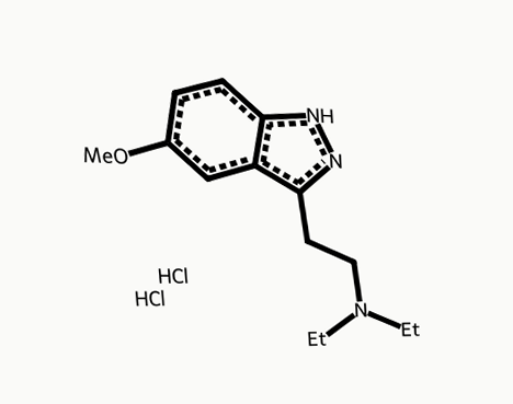 CCN(CC)CCc1n[nH]c2ccc(OC)cc12.Cl.Cl